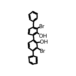 Oc1c(-c2ccc(-c3ccccc3)c(Br)c2O)ccc(-c2ccccc2)c1Br